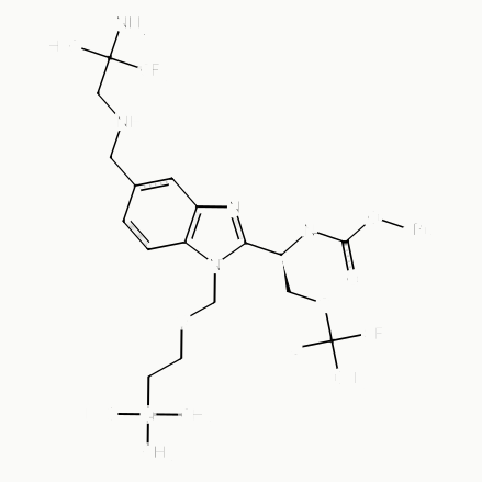 CC(C)(C)OC(=O)N[C@@H](COC(C)(C)C(F)(F)F)c1nc2cc(CNCC(C)(N)C(F)(F)F)ccc2n1COCC[Si](C)(C)C